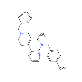 C=C1C2=C(CCN(Cc3ccccc3)C2)c2cccnc2N1Cc1ccc(OC)cc1